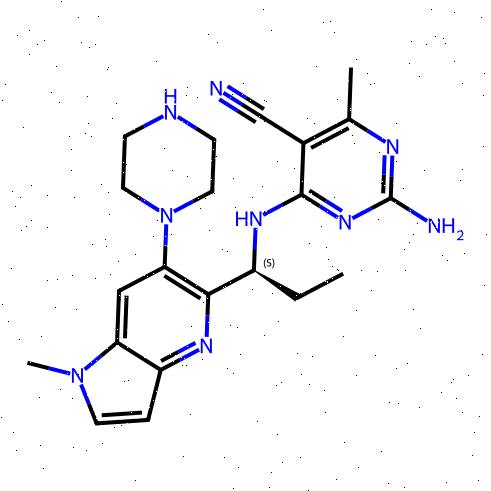 CC[C@H](Nc1nc(N)nc(C)c1C#N)c1nc2ccn(C)c2cc1N1CCNCC1